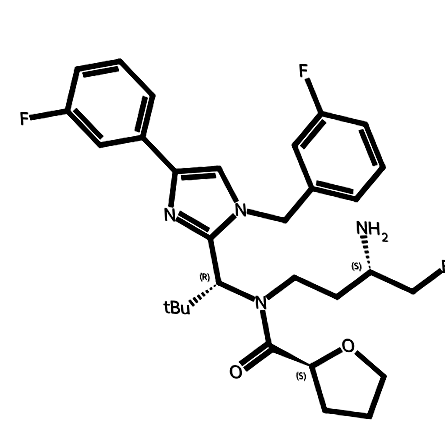 CC(C)(C)[C@H](c1nc(-c2cccc(F)c2)cn1Cc1cccc(F)c1)N(CC[C@H](N)CF)C(=O)[C@@H]1CCCO1